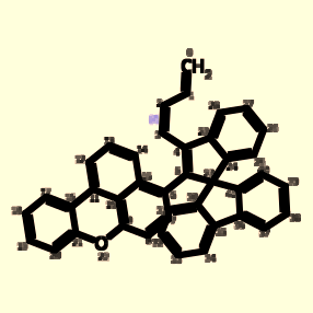 C=C/C=C\C1=C(c2ccc3c4c(cccc24)-c2ccccc2O3)C2(c3ccccc31)c1ccccc1-c1ccccc12